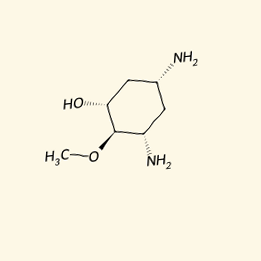 CO[C@H]1[C@H](O)C[C@H](N)C[C@@H]1N